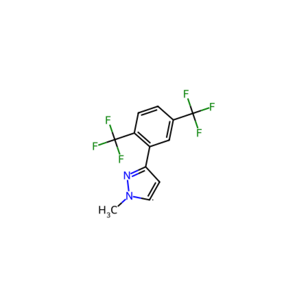 Cn1[c]cc(-c2cc(C(F)(F)F)ccc2C(F)(F)F)n1